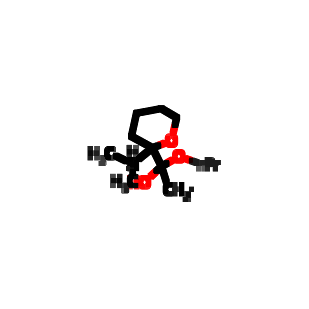 [CH2]C(O)(OCCC)C1([SiH](C)C)CCCCO1